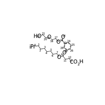 CC(C)CCCCCCCOC(=O)CCC(=O)O.O=C(OCCOCCO)c1ccccc1